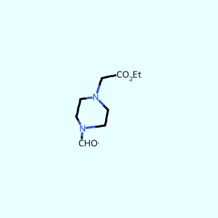 CCOC(=O)CN1CCN([C]=O)CC1